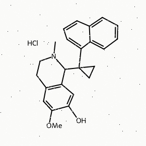 COc1cc2c(cc1O)C(C1(c3cccc4ccccc34)CC1)N(C)CC2.Cl